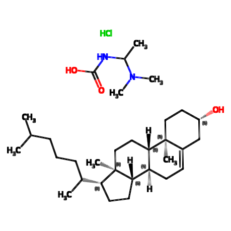 CC(C)CCCC(C)[C@H]1CC[C@H]2[C@@H]3CC=C4C[C@@H](O)CC[C@]4(C)[C@H]3CC[C@]12C.CC(NC(=O)O)N(C)C.Cl